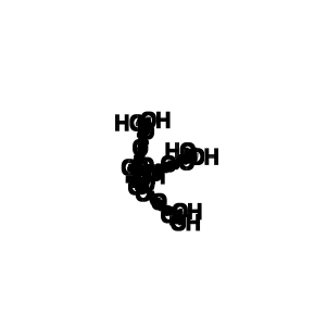 CC(OC(=O)OCCOCCON(O)O)C(NC(=O)OCCOCCON(O)O)C(=O)OCCOCCON(O)O